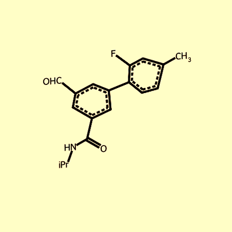 Cc1ccc(-c2cc(C=O)cc(C(=O)NC(C)C)c2)c(F)c1